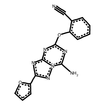 N#Cc1ccccc1Oc1nc(N)n2nc(-c3ccco3)nc2n1